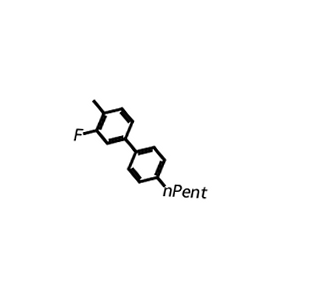 CCCCCc1ccc(-c2ccc(C)c(F)c2)cc1